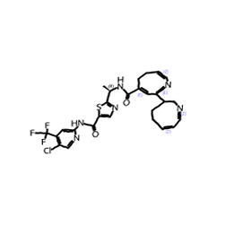 C[C@@H](NC(=O)/C1=C/C(C2CC/C=C\C=N/C2)=N\C=C/CC1)c1ncc(C(=O)Nc2cc(C(F)(F)F)c(Cl)cn2)s1